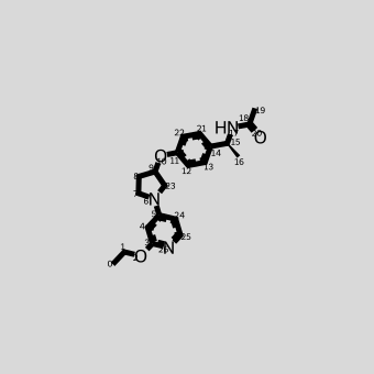 CCOc1cc(N2CCC(Oc3ccc([C@H](C)NC(C)=O)cc3)C2)ccn1